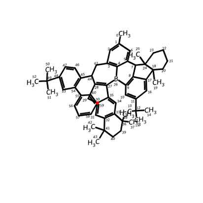 Cc1cc2c3c(c1)C1c4c(cc(C(C)(C)C)cc4C4(C)CCCCC14C)B3C1=C(Cc3cc4c(cc31)C(C)(C)CCC4(C)C)C(c1ccc(C(C)(C)C)cc1-c1ccccc1)C2